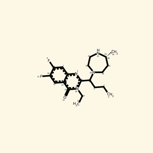 CCCC(c1nc2cc(F)c(F)cc2c(=O)n1CC)N1CCN[C@H](C)CC1